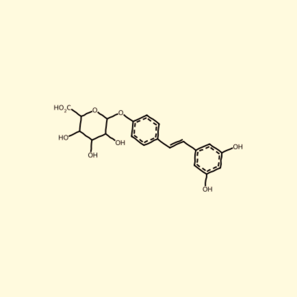 O=C(O)C1OC(Oc2ccc(/C=C/c3cc(O)cc(O)c3)cc2)C(O)C(O)C1O